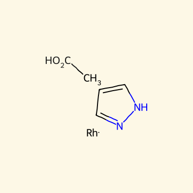 CC(=O)O.[Rh].c1cn[nH]c1